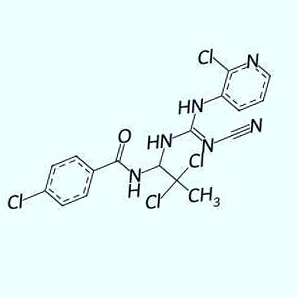 CC(Cl)(Cl)C(NC(=O)c1ccc(Cl)cc1)NC(=NC#N)Nc1cccnc1Cl